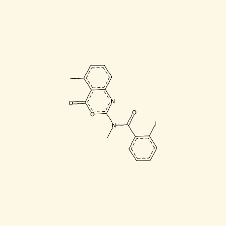 Cc1cccc2nc(N(C)C(=O)c3ccccc3I)oc(=O)c12